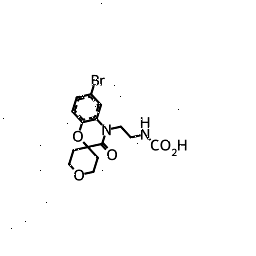 O=C(O)NCCN1C(=O)C2(CCOCC2)Oc2ccc(Br)cc21